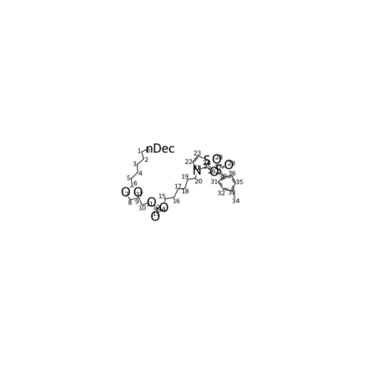 CCCCCCCCCCCCCCCC1OCC(COC(=O)OCCCCCCN2C=CSC2OS(=O)(=O)c2ccc(C)cc2)O1